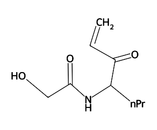 C=CC(=O)C(CCC)NC(=O)CO